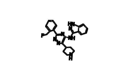 FCc1ccccc1-c1nnc(C2CCNCC2)c(Nc2n[nH]c3ccccc23)n1